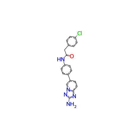 Nc1nc2ccc(-c3ccc(NC(=O)Cc4ccc(Cl)cc4)cc3)cn2n1